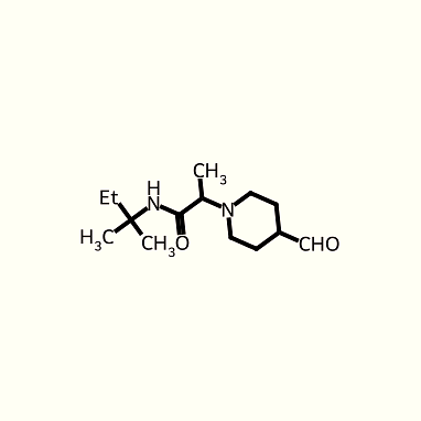 CCC(C)(C)NC(=O)C(C)N1CCC(C=O)CC1